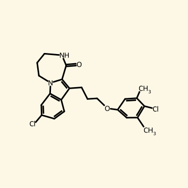 Cc1cc(OCCCc2c3n(c4cc(Cl)ccc24)CCCNC3=O)cc(C)c1Cl